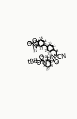 C[C@@H]1[C@H](C(=O)N[C@H](C#N)Cc2ccc(-c3ccc4oc(=O)n(C)c4c3)cc2)CCCN1C(=O)OC(C)(C)C